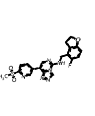 CS(=O)(=O)c1ccc(-c2cnc(NCc3c(F)ccc4c3CCO4)n3cnnc23)cn1